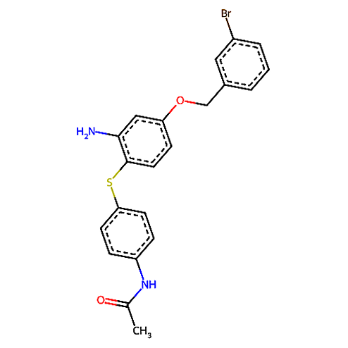 CC(=O)Nc1ccc(Sc2ccc(OCc3cccc(Br)c3)cc2N)cc1